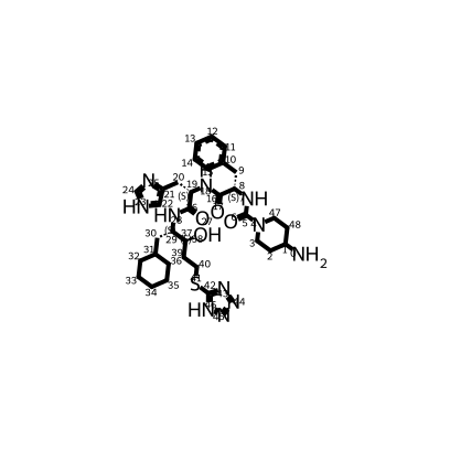 NC1CCN(C(=O)N[C@@H](Cc2ccccc2)C(=O)N[C@@H](Cc2c[nH]cn2)C(=O)N[C@@H](CC2CCCCC2)[C@@H](O)CCSc2nnn[nH]2)CC1